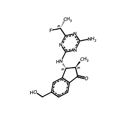 C[C@@H](F)c1nc(N)nc(N[C@H]2c3cc(CO)ccc3C(=O)[C@@H]2C)n1